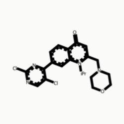 CC(C)n1c(CN2CCOCC2)cc(=O)c2ccc(-c3nc(Cl)ncc3Cl)cc21